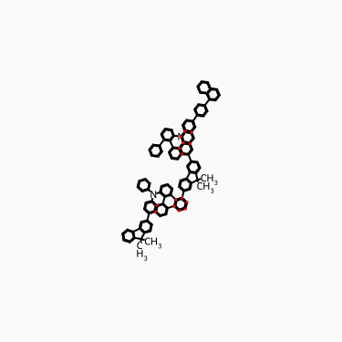 CC1(C)c2ccccc2-c2cc(-c3ccc(N(c4ccccc4)c4cccc(-c5ccccc5)c4-c4ccccc4-c4cccc(-c5ccc6c(c5)C(C)(C)c5ccc(-c7ccc(N(c8ccc(-c9ccc(-c%10cccc%11ccccc%10%11)cc9)cc8)c8cccc(-c9ccccc9)c8-c8ccccc8-c8ccccc8)cc7)cc5-6)c4)cc3)ccc21